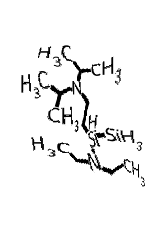 CCN(CC)[SiH]([SiH3])CCN(C(C)C)C(C)C